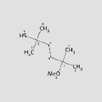 COC(C)(C)CCC(C)(C)S